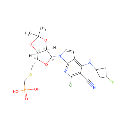 CC1(C)O[C@@H]2[C@H](O1)[C@@H](CSCP(=O)(O)O)O[C@H]2n1ccc2c(NC3CC(F)C3)c(C#N)c(Cl)nc21